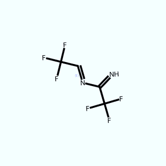 N=C(/N=C/C(F)(F)F)C(F)(F)F